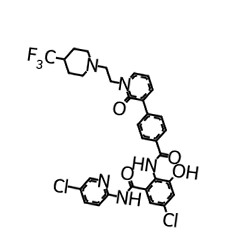 O=C(Nc1c(O)cc(Cl)cc1C(=O)Nc1ccc(Cl)cn1)c1ccc(-c2cccn(CCN3CCC(C(F)(F)F)CC3)c2=O)cc1